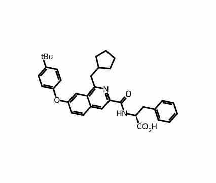 CC(C)(C)c1ccc(Oc2ccc3cc(C(=O)N[C@@H](Cc4ccccc4)C(=O)O)nc(CC4CCCC4)c3c2)cc1